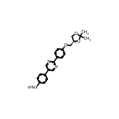 CCCCCCc1ccc(-c2cnc(-c3ccc(OC[C@H]4COC(C)(C)O4)cc3)nc2)cc1